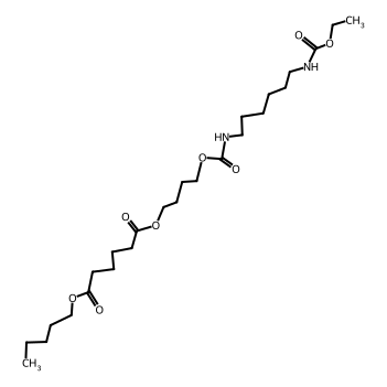 CCCCCOC(=O)CCCCC(=O)OCCCCOC(=O)NCCCCCCNC(=O)OCC